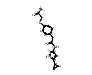 NC(=O)COc1ccc(CC(=O)Nc2cc(C3CC3)[nH]n2)cc1